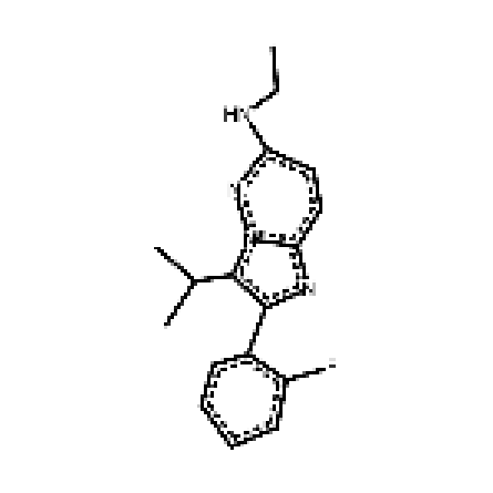 CCNc1ccc2nc(-c3ccccc3F)c(C(C)C)n2n1